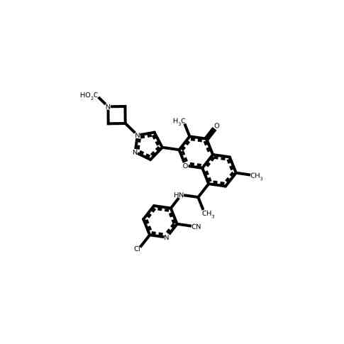 Cc1cc(C(C)Nc2ccc(Cl)nc2C#N)c2oc(-c3cnn(C4CN(C(=O)O)C4)c3)c(C)c(=O)c2c1